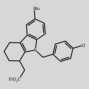 CCOC(=O)CC1CCCc2c1n(Cc1ccc(Cl)cc1)c1ccc(C(C)(C)C)cc21